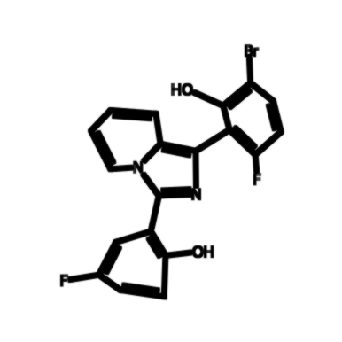 Oc1ccc(F)cc1-c1nc(-c2c(F)ccc(Br)c2O)c2ccccn12